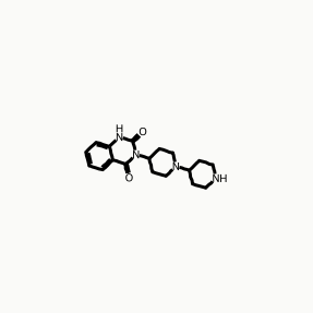 O=c1[nH]c2ccccc2c(=O)n1C1CCN(C2CCNCC2)CC1